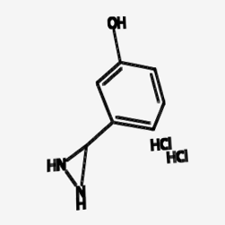 Cl.Cl.Oc1cccc(C2NN2)c1